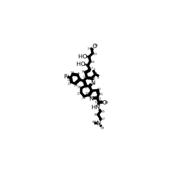 CC(C)c1nc2c(c(-c3ccc(F)cc3)c1/C=C/[C@@H](O)C[C@@H](O)CC=O)CCCc1nc(C(=O)NCCCN(C)C)ccc1-2